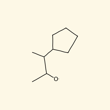 CC([O])C(C)C1CCCC1